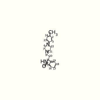 Cc1ccc(N2CCN(CCC3NC(=O)c4ccccc43)CC2)cc1